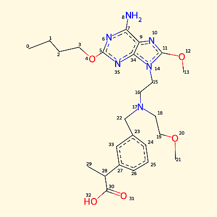 CCCCOc1nc(N)c2nc(OC)n(CCN(CCOC)Cc3cccc(C(C)C(=O)O)c3)c2n1